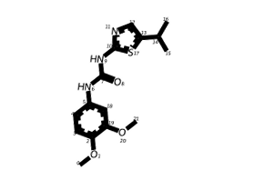 COc1ccc(NC(=O)Nc2ncc(C(C)C)s2)cc1OC